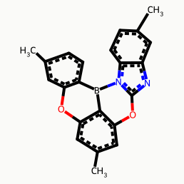 Cc1ccc2c(c1)Oc1cc(C)cc3c1B2n1c(nc2cc(C)ccc21)O3